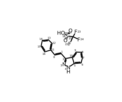 C(=C\c1n[nH]c2ccccc12)/c1ccccc1.O=S(=O)(O)C(F)(F)F